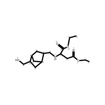 CCOC(=O)CC(NCC1CC2CC1CC2CO)C(=O)OCC